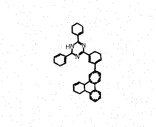 C1=CC(C2N=C(C3=CC(c4ccc5c(c4)C4C=CCCC4c4ccccc4-5)=CCC3)N=C(C3=CCCCC3)N2)=CCC1